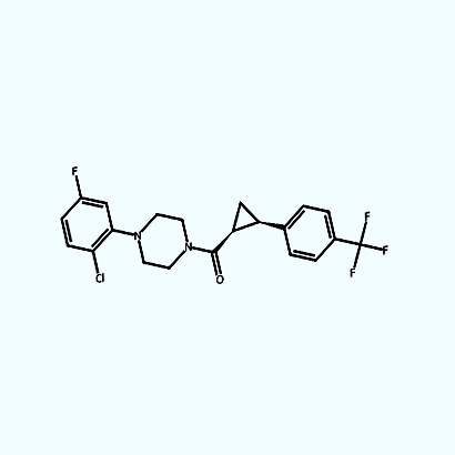 O=C([C@H]1C[C@H]1c1ccc(C(F)(F)F)cc1)N1CCN(c2cc(F)ccc2Cl)CC1